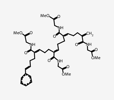 C=C(CC/C=C(\CC/C=C(\CC/C=C(\CCC=Cc1ccccc1)C(=O)NCC(=O)OC)C(=O)NCC(=O)OC)C(=O)NCC(=O)OC)C(=O)NCC(=O)OC